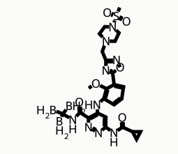 BC(B)(B)NC(=O)c1nnc(NC(=O)C2CC2)cc1Nc1cccc(-c2nc(CN3CCN(S(C)(=O)=O)CC3)no2)c1OC